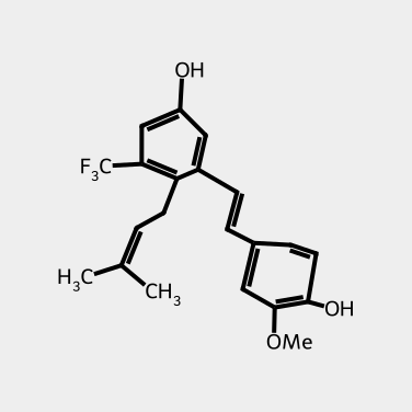 COc1cc(C=Cc2cc(O)cc(C(F)(F)F)c2CC=C(C)C)ccc1O